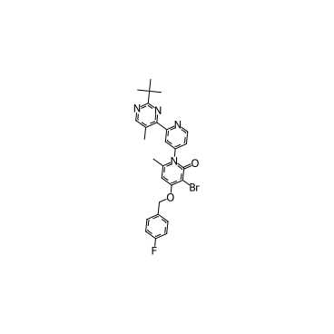 Cc1cnc(C(C)(C)C)nc1-c1cc(-n2c(C)cc(OCc3ccc(F)cc3)c(Br)c2=O)ccn1